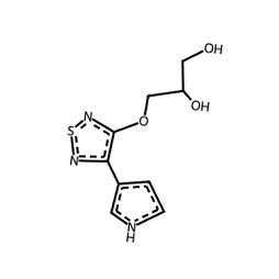 OCC(O)COc1nsnc1-c1cc[nH]c1